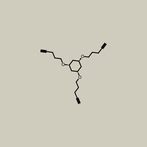 C#CCCCO[C@H]1C[C@@H](OCCCC#C)C[C@@H](OCCCC#C)C1